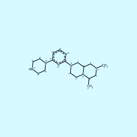 CC1CN(C)CC2CN(c3nccc(N4CCNCC4)n3)CCN12